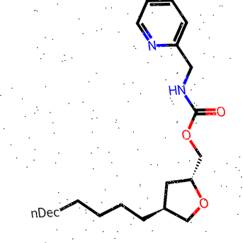 CCCCCCCCCCCCCC[C@@H]1CO[C@@H](COC(=O)NCc2ccccn2)C1